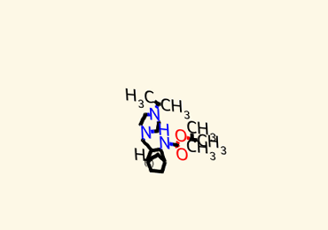 CC(C)N1CCN(CC2C(NC(=O)OC(C)(C)C)C3CC[C@@H]2C3)CC1